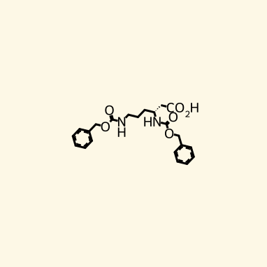 O=C(O)C[C@@H](CCCNC(=O)OCc1ccccc1)NC(=O)OCc1ccccc1